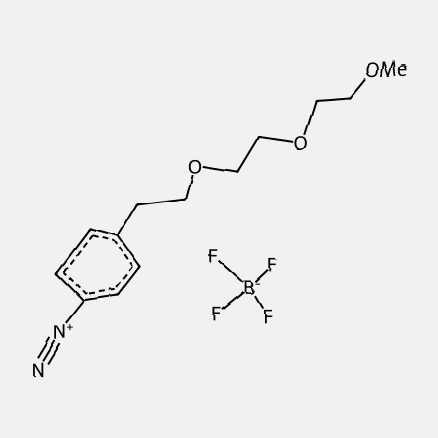 COCCOCCOCCc1ccc([N+]#N)cc1.F[B-](F)(F)F